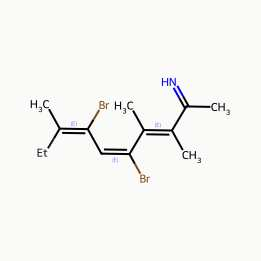 CC\C(C)=C(Br)/C=C(Br)\C(C)=C(/C)C(C)=N